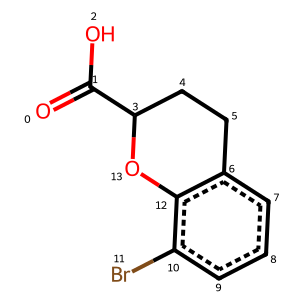 O=C(O)C1CCc2cccc(Br)c2O1